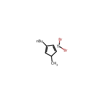 CCCCC1=C[C](C)C=C1.[Br][Ti][Br]